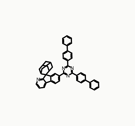 c1ccc(-c2ccc(-c3nc(-c4ccc(-c5ccccc5)cc4)nc(-c4ccc5c(c4)C4(c6ncccc6-5)C5CC6CC(C5)CC4C6)n3)cc2)cc1